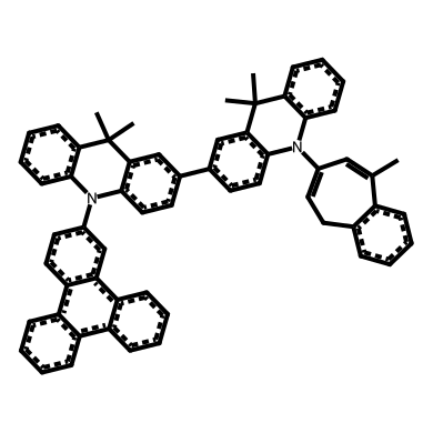 CC1=CC(N2c3ccccc3C(C)(C)c3cc(-c4ccc5c(c4)C(C)(C)c4ccccc4N5c4ccc5c6ccccc6c6ccccc6c5c4)ccc32)=CCc2ccccc21